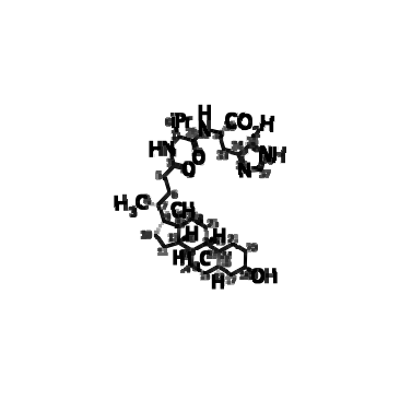 CC(C)[C@H](NC(=O)CC[C@@H](C)[C@H]1CC[C@H]2[C@@H]3CC[C@@H]4C[C@H](O)CC[C@]4(C)[C@H]3CC[C@]12C)C(=O)N[C@@H](Cc1c[nH]cn1)C(=O)O